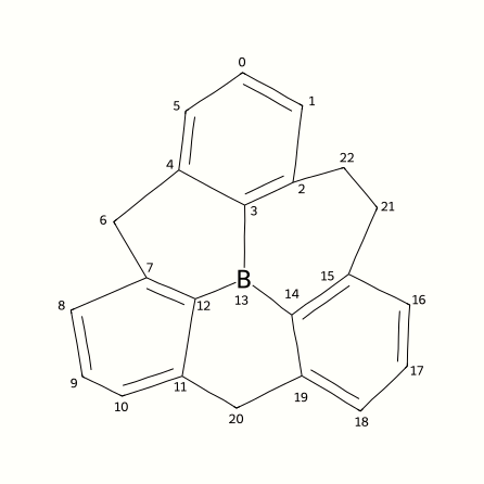 c1cc2c3c(c1)Cc1cccc4c1B3c1c(cccc1C4)CC2